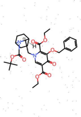 CCOC(=O)c1cn(C[C@@H]2C3CCC(CC3)N2C(=O)OC(C)(C)C)c(C(=O)OCC)c(OCc2ccccc2)c1=O